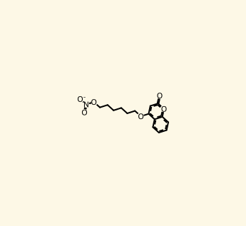 O=c1cc(OCCCCCCO[N+](=O)[O-])c2ccccc2o1